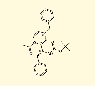 CC(=O)O[C@@H](C[C@H]([C]=S)Cc1ccccc1)[C@H](Cc1ccccc1)NC(=O)OC(C)(C)C